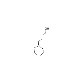 OCCCCN1CCCCCC1